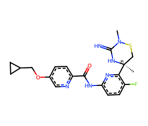 CN1SC[C@@](C)(c2nc(NC(=O)c3ccc(OCC4CC4)cn3)ccc2F)NC1=N